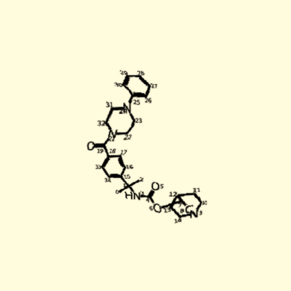 CC(C)(NC(=O)OC1CN2CCC1CC2)c1ccc(C(=O)N2CCN(c3ccccc3)CC2)cc1